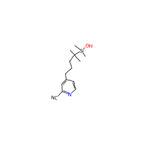 CC(C)(CCCc1ccnc(C#N)c1)[Si](C)(C)O